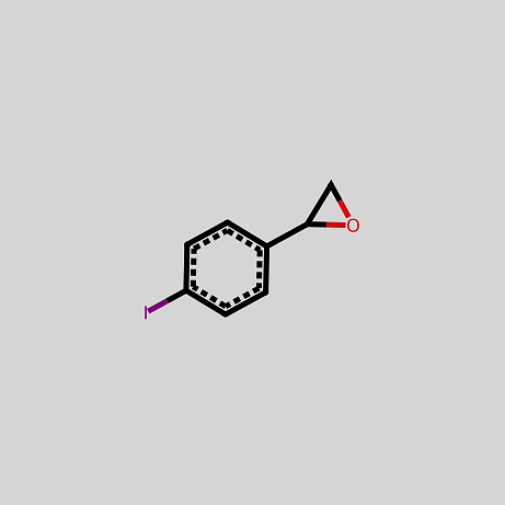 Ic1ccc(C2CO2)cc1